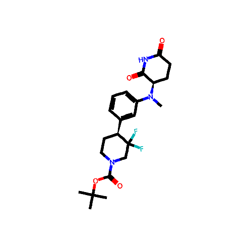 CN(c1cccc([C@@H]2CCN(C(=O)OC(C)(C)C)CC2(F)F)c1)[C@@H]1CCC(=O)NC1=O